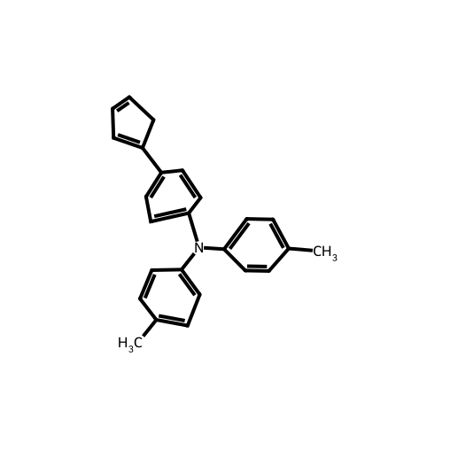 Cc1ccc(N(c2ccc(C)cc2)c2ccc(C3=CC=CC3)cc2)cc1